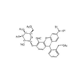 CCN(CC)c1ccc2c(c1)Oc1c(ccc(O[C@@H]3O[C@H](COC(C)=O)[C@H](OC(C)=O)[C@H](OC(C)=O)[C@H]3O)c1C=O)C2c1ccccc1COC(C)=O